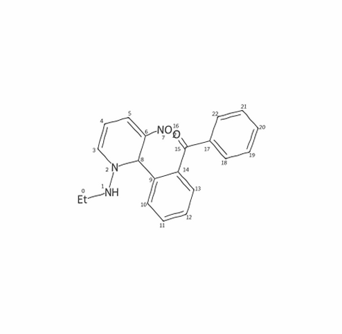 CCNN1C=CC=C([N+](=O)[O-])C1c1ccccc1C(=O)c1ccccc1